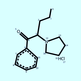 CCCC(C(=O)c1ccccc1)N1CCCC1.Cl